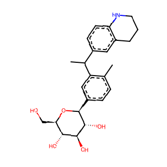 Cc1ccc([C@@H]2O[C@H](CO)[C@@H](O)[C@H](O)[C@H]2O)cc1C(C)c1ccc2c(c1)CCCN2